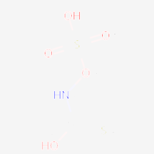 O=S(=O)(O)ONC(O)=S